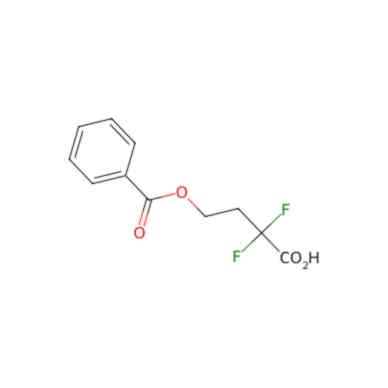 O=C(OCCC(F)(F)C(=O)O)c1ccccc1